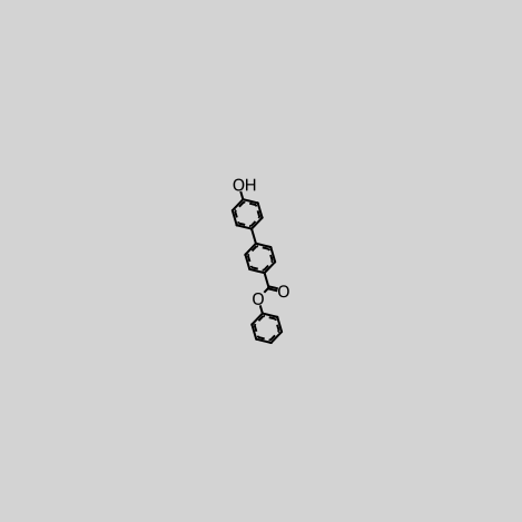 O=C(Oc1ccccc1)c1ccc(-c2ccc(O)cc2)cc1